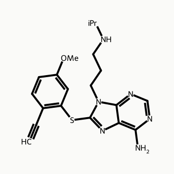 C#Cc1ccc(OC)cc1Sc1nc2c(N)ncnc2n1CCCNC(C)C